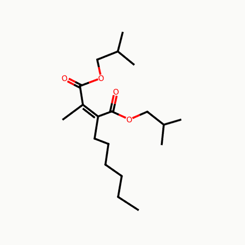 CCCCCC/C(C(=O)OCC(C)C)=C(\C)C(=O)OCC(C)C